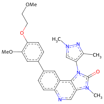 COCCOc1ccc(-c2ccc3ncc4c(c3c2)n(-c2cn(C)nc2C)c(=O)n4C)cc1OC